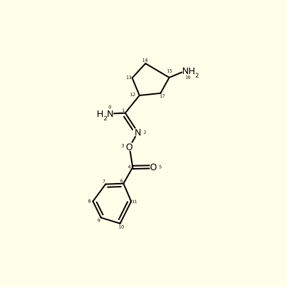 N/C(=N\OC(=O)c1ccccc1)C1CCC(N)C1